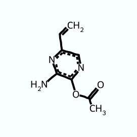 C=Cc1cnc(OC(C)=O)c(N)n1